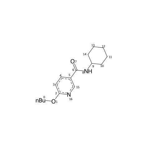 CCCCOc1ccc(C(=O)NC2CCCCC2)cn1